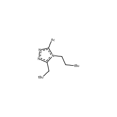 CC(=O)c1nnc(CC(C)(C)C)n1CCC(C)(C)C